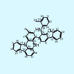 Cc1cc(-c2ccc3c(oc4ccccc43)c2Nc2ccccc2C)c2c(c1)-n1c3ccccc3c3cccc(c31)B2